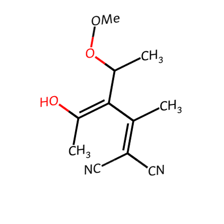 COOC(C)/C(C(C)=C(C#N)C#N)=C(/C)O